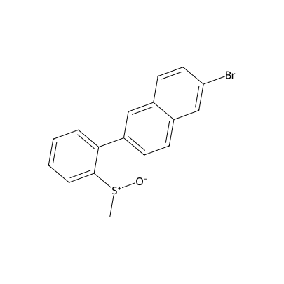 C[S+]([O-])c1ccccc1-c1ccc2cc(Br)ccc2c1